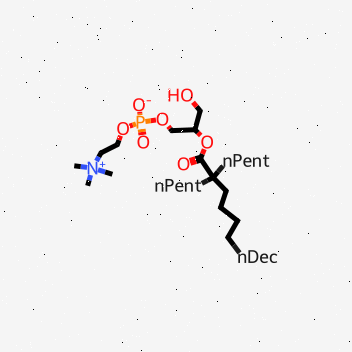 CCCCCCCCCCCCCCC(CCCCC)(CCCCC)C(=O)OC(CO)COP(=O)([O-])OCC[N+](C)(C)C